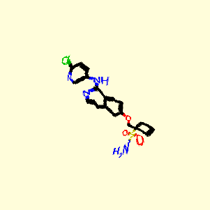 NS(=O)(=O)C1(COc2ccc3c(Nc4ccc(Cl)nc4)nccc3c2)CCC1